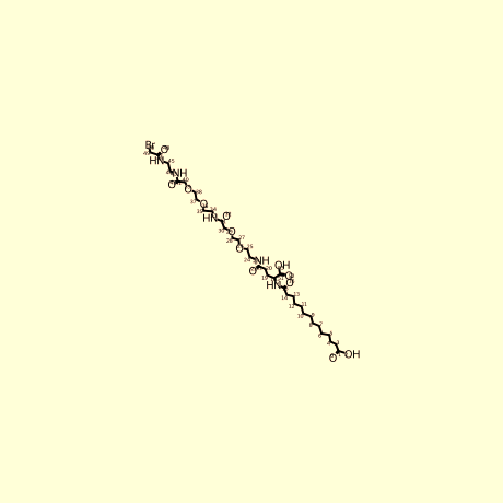 O=C(O)CCCCCCCCCCCCC(=O)NC(CCC(=O)NCCOCCOCC(=O)NCCOCCOCC(=O)NCCNC(=O)CBr)C(=O)O